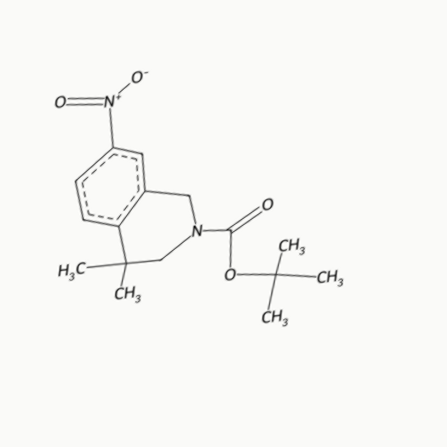 CC(C)(C)OC(=O)N1Cc2cc([N+](=O)[O-])ccc2C(C)(C)C1